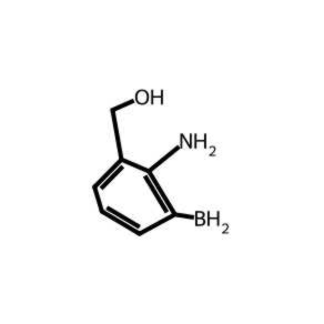 Bc1cccc(CO)c1N